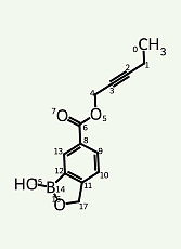 CCC#CCOC(=O)c1ccc2c(c1)B(O)OC2